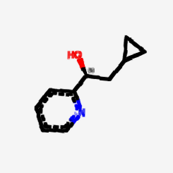 O[C@@H](CC1CC1)c1ccccn1